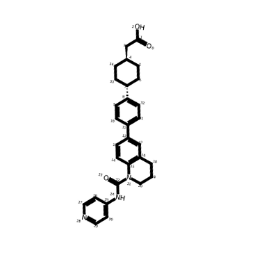 O=C(O)C[C@H]1CC[C@H](c2ccc(-c3ccc4c(c3)CCCN4C(=O)Nc3ccncc3)cc2)CC1